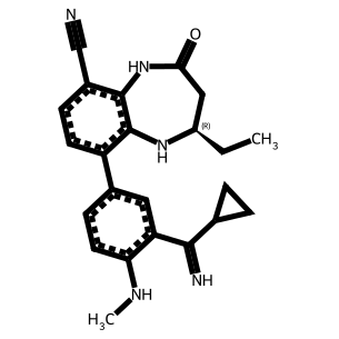 CC[C@@H]1CC(=O)Nc2c(C#N)ccc(-c3ccc(NC)c(C(=N)C4CC4)c3)c2N1